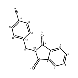 O=C1c2cccnc2C(=O)N1Cc1ccc(Br)cc1